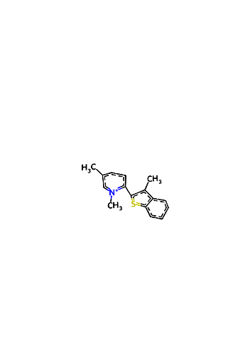 Cc1ccc(-c2sc3ccccc3c2C)[n+](C)c1